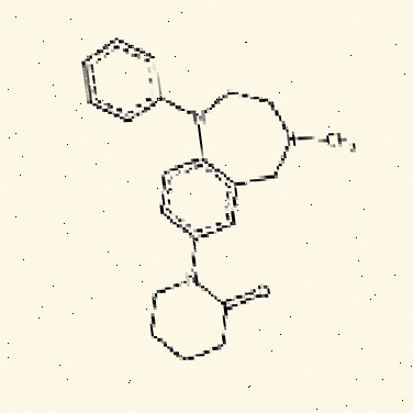 CN1CCN(c2ccccc2)c2ccc(N3CCCCC3=O)cc2C1